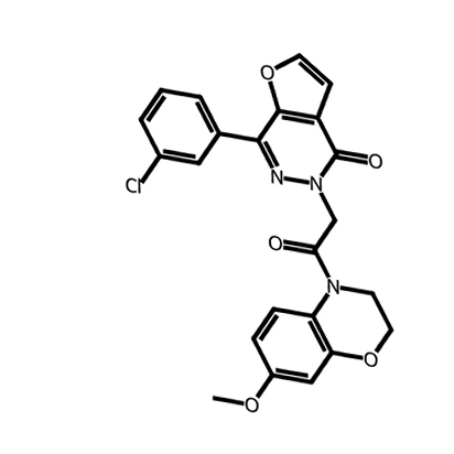 COc1ccc2c(c1)OCCN2C(=O)Cn1nc(-c2cccc(Cl)c2)c2occc2c1=O